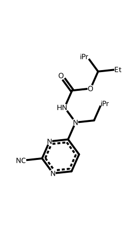 CCC(OC(=O)NN(CC(C)C)c1ccnc(C#N)n1)C(C)C